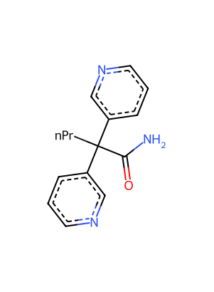 CCCC(C(N)=O)(c1cccnc1)c1cccnc1